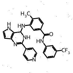 Cc1ccc(C(=O)Nc2cccc(C(F)(F)F)c2)cc1NC1NC(c2ccncc2)=Nc2cc[nH]c21